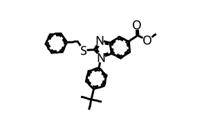 COC(=O)c1ccc2c(c1)nc(SCc1ccccc1)n2-c1ccc(C(C)(C)C)cc1